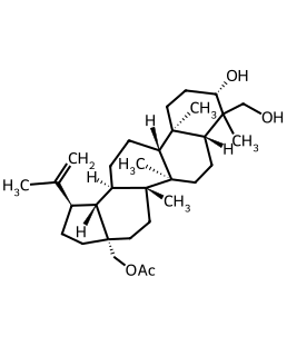 C=C(C)[C@@H]1CC[C@]2(COC(C)=O)CC[C@]3(C)[C@H](CC[C@@H]4[C@@]5(C)CC[C@H](O)C(C)(CO)[C@@H]5CC[C@]43C)[C@@H]12